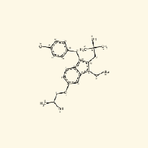 CC(O)COc1ccc2c(c1)c(SC(C)(C)C)c(CC(C)(C)O)n2Cc1ccc(Cl)cc1